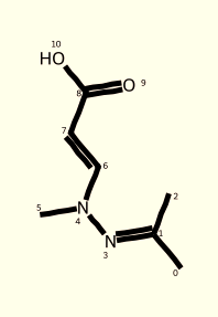 CC(C)=NN(C)C=CC(=O)O